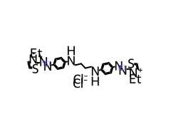 CC[n+]1ccsc1/N=N/c1ccc(NCCCCNc2ccc(/N=N/c3scc[n+]3CC)cc2)cc1.[Cl-].[Cl-]